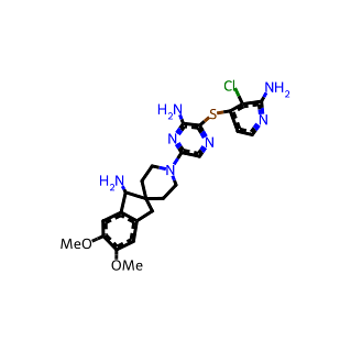 COc1cc2c(cc1OC)C(N)C1(CCN(c3cnc(Sc4ccnc(N)c4Cl)c(N)n3)CC1)C2